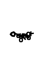 CC(NC(=O)OC(C)(C)C)C(=O)NOCc1ccccc1